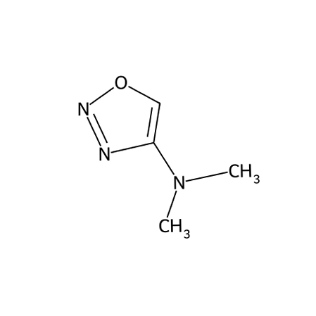 CN(C)c1conn1